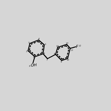 Oc1ccccc1Cc1ccc(F)cc1